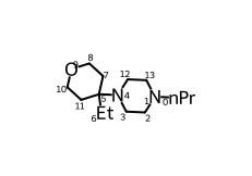 CCCN1CCN(C2(CC)CCOCC2)CC1